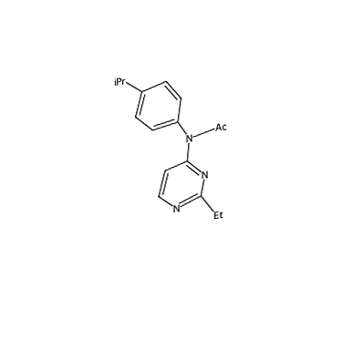 CCc1nccc(N(C(C)=O)c2ccc(C(C)C)cc2)n1